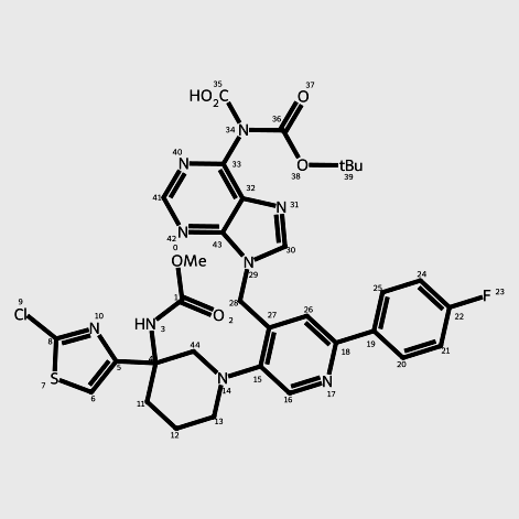 COC(=O)NC1(c2csc(Cl)n2)CCCN(c2cnc(-c3ccc(F)cc3)cc2Cn2cnc3c(N(C(=O)O)C(=O)OC(C)(C)C)ncnc32)C1